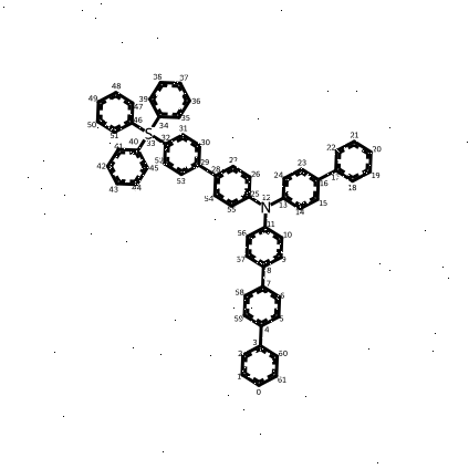 c1ccc(-c2ccc(-c3ccc(N(c4ccc(-c5ccccc5)cc4)c4ccc(-c5ccc(S(c6ccccc6)(c6ccccc6)c6ccccc6)cc5)cc4)cc3)cc2)cc1